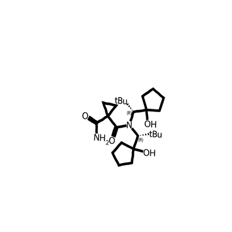 CC(C)(C)[C@@H](N(C(=O)C1(C(N)=O)CC1)[C@H](C(C)(C)C)C1(O)CCCC1)C1(O)CCCC1